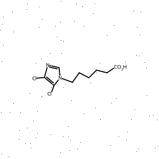 O=C(O)CCCCCn1cnc(Cl)c1Cl